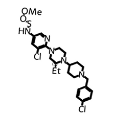 CC[C@H]1CN(c2ncc(NSOOC)cc2Cl)CCN1C1CCN(Cc2ccc(Cl)cc2)CC1